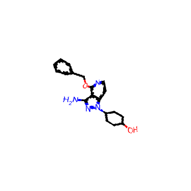 Nc1nn(C2CCC(O)CC2)c2ccnc(OCc3ccccc3)c12